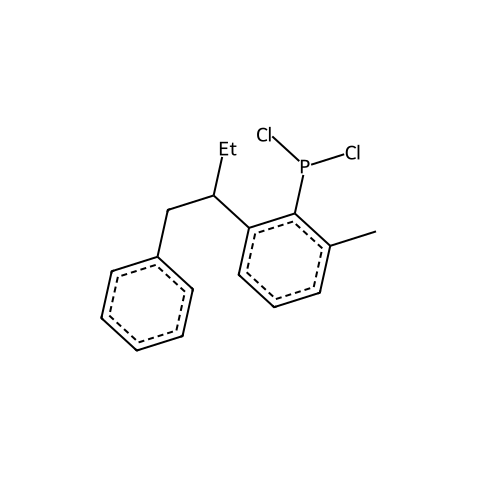 CCC(Cc1ccccc1)c1cccc(C)c1P(Cl)Cl